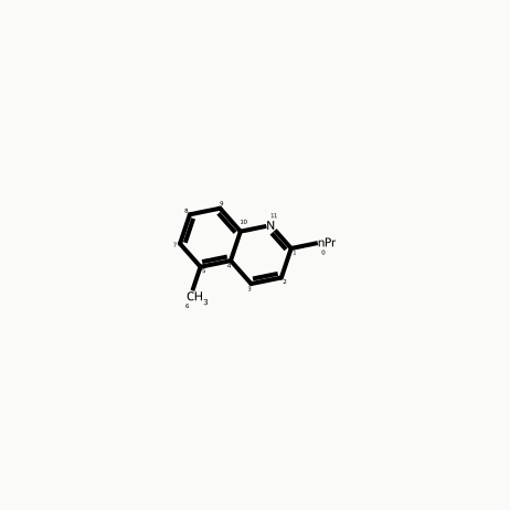 CCCc1ccc2c(C)cccc2n1